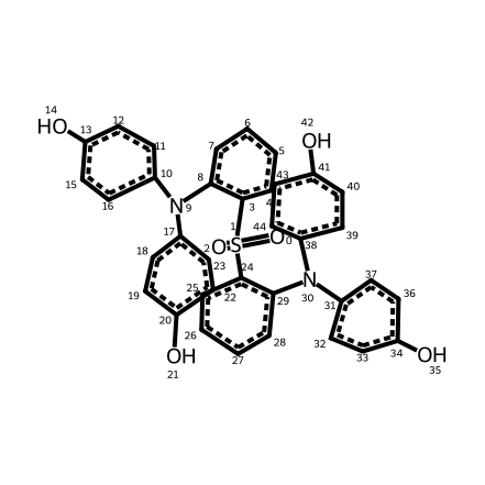 O=S(=O)(c1ccccc1N(c1ccc(O)cc1)c1ccc(O)cc1)c1ccccc1N(c1ccc(O)cc1)c1ccc(O)cc1